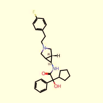 O=C(N[C@H]1C2CN(CCc3ccc(F)cc3)C[C@@H]21)C(O)(c1ccccc1)C1CCCC1